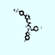 O=C(CN(CC1CCNCC1)Sc1cc2cc(F)ccc2o1)NCc1cc(-c2ccc(C(F)(F)F)cc2)ncn1